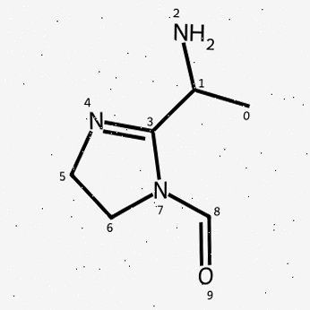 CC(N)C1=NCCN1C=O